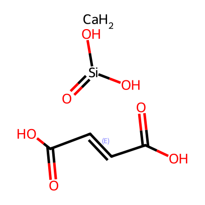 O=C(O)/C=C/C(=O)O.O=[Si](O)O.[CaH2]